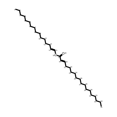 CCCCCCCCCCCCCCC=COC(=O)C=CCCCCCCCCCCCCCCC